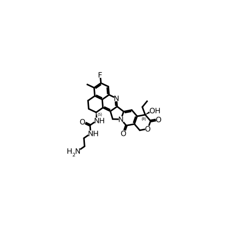 CC[C@]1(O)C(=O)OCc2c1cc1n(c2=O)Cc2c-1nc1cc(F)c(C)c3c1c2[C@@H](NC(=O)NCCN)CC3